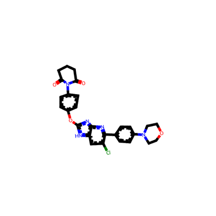 O=C1CCCC(=O)N1c1ccc(Oc2nc3nc(-c4ccc(N5CCOCC5)cc4)c(Cl)cc3[nH]2)cc1